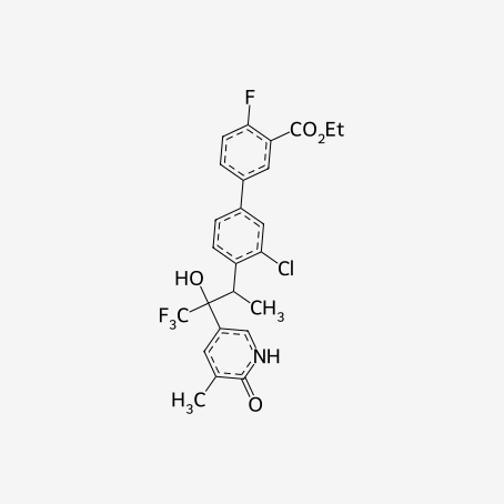 CCOC(=O)c1cc(-c2ccc(C(C)C(O)(c3c[nH]c(=O)c(C)c3)C(F)(F)F)c(Cl)c2)ccc1F